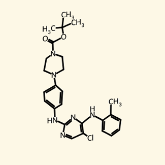 Cc1ccccc1Nc1nc(Nc2ccc(N3CCN(C(=O)OC(C)(C)C)CC3)cc2)ncc1Cl